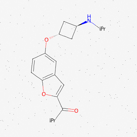 CC(C)N[C@H]1C[C@H](Oc2ccc3oc(C(=O)C(C)C)cc3c2)C1